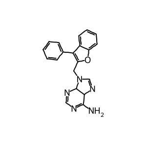 NC1=NC=NC2C1N=CN2Cc1oc2ccccc2c1-c1ccccc1